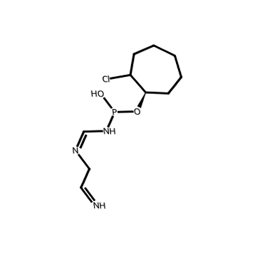 N=CC/N=C\NP(O)O[C@@H]1CCCCCC1Cl